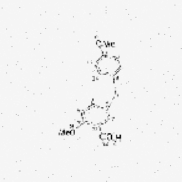 COc1ccc(Cc2ccc(OC)c(C(=O)O)c2)cc1